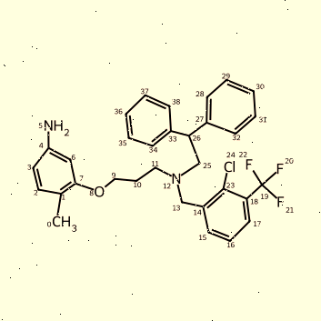 Cc1ccc(N)cc1OCCCN(Cc1cccc(C(F)(F)F)c1Cl)CC(c1ccccc1)c1ccccc1